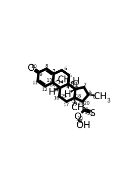 C[C@@H]1C[C@H]2[C@@H]3CCC4=CC(=O)C=C[C@]4(C)[C@H]3CC[C@]2(C)[C@H]1C(=S)OO